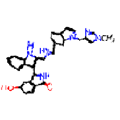 Cn1cnc(CN2C=CC3=CC=C(CNCc4[nH]c5ccccc5c4C4NC(=O)c5ccc(O)cc54)CC32)c1